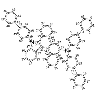 c1ccc(-c2ccc(N(c3ccc(-c4ccccc4)cc3)c3cc4c5ccccc5c5c(c6ccccc6n5-c5ccc(-c6ccccc6)cc5)c4c4ccccc34)cc2)cc1